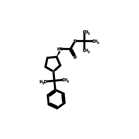 CC(C)(C)OC(=O)N[C@H]1CCN(C(C)(C)c2ccccc2)C1